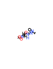 CC(C)(C)OC(=O)N1C[C@@H]2[C@H](C1)[C@H]2C(=O)NC(C)(C)c1nc(C2CC2)nc2ccccc12